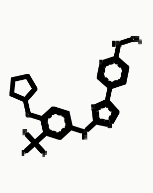 CNc1ccc(-c2csc(Nc3ccc(OC4CCCC4)c(C(F)(F)F)c3)n2)cn1